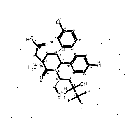 CC[C@@H](CC(O)(O)C(F)(F)F)N1C(=O)[C@@](C)(CC(=O)O)C[C@H](c2cccc(Cl)c2)C1c1ccc(Cl)cc1